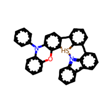 c1ccc(N2c3ccccc3Oc3c2ccc2c3[SH]3c4c-2cccc4-c2cccc4c5ccccc5n3c24)cc1